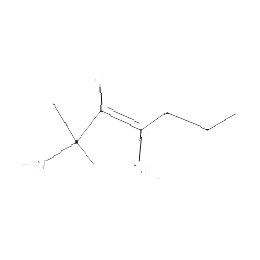 CCCC(N)=C(O)C(C)(C)N